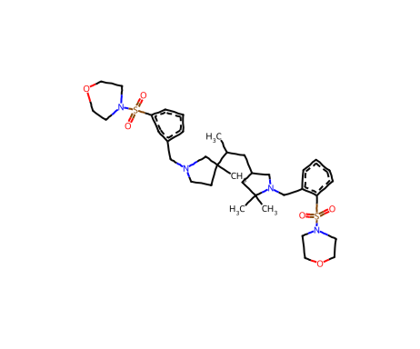 CC(CC1CN(Cc2ccccc2S(=O)(=O)N2CCOCC2)C(C)(C)C1)C1(C)CCN(Cc2cccc(S(=O)(=O)N3CCOCC3)c2)C1